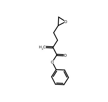 C=C(CCC1CO1)C(=O)Oc1ccccc1